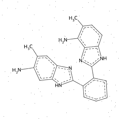 Cc1cc2nc(-c3ccccc3-c3nc4c(N)c(C)ccc4[nH]3)[nH]c2cc1N